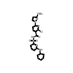 CC(C)COc1ccn(-c2ccc(C(=O)NS(=O)(=O)c3cccc(Nc4ccccc4)n3)c(Cl)n2)n1